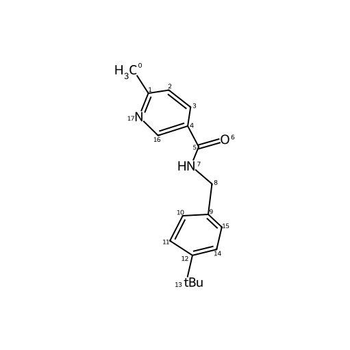 Cc1ccc(C(=O)NCc2ccc(C(C)(C)C)cc2)cn1